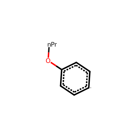 [CH2]CCOc1cc[c]cc1